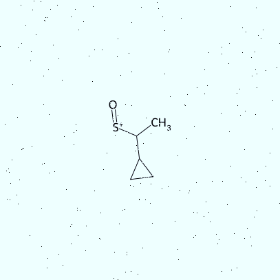 CC([S+]=O)C1CC1